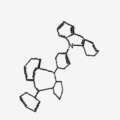 C1=CCC(C2C3=C(CCC=C3)C(C3CC=C(n4c5c(c6ccccc64)C=CCC5)CC3)C3CCCCC32)C=C1